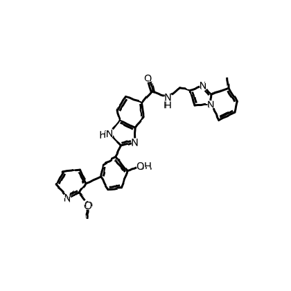 COc1ncccc1-c1ccc(O)c(-c2nc3cc(C(=O)NCc4cn5cccc(C)c5n4)ccc3[nH]2)c1